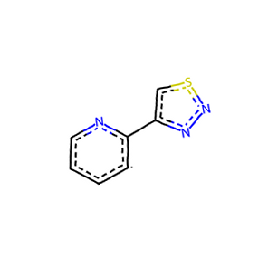 [c]1cccnc1-c1csnn1